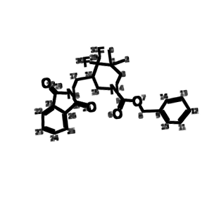 CC1(C)CN(C(=O)OCc2ccccc2)CC(CN2C(=O)c3ccccc3C2=O)C1(F)F